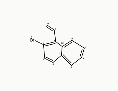 C=Cc1c(Br)ccc2ccccc12